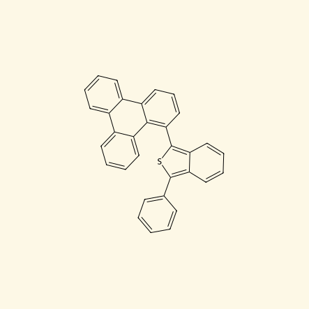 c1ccc(-c2sc(-c3cccc4c5ccccc5c5ccccc5c34)c3ccccc23)cc1